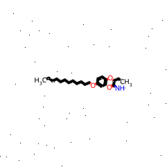 CCCCCCCCCCCCOc1ccc(OC(CC)C([NH])=O)cc1